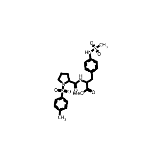 COC(=O)C(Cc1ccc(NS(C)(=O)=O)cc1)NC(=O)C1CCCN1S(=O)(=O)c1ccc(C)cc1